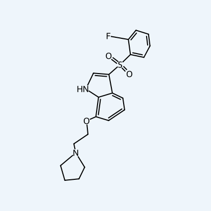 O=S(=O)(c1ccccc1F)c1c[nH]c2c(OCCN3CCCC3)cccc12